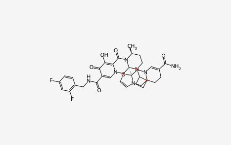 C[C@H]1CCN(C2CCC2)[C@@]2(C34CN5C=C(C(N)=O)CCC5CN3C=CO4)Cn3cc(C(=O)NCc4ccc(F)cc4F)c(=O)c(O)c3C(=O)N12